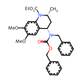 CCOC(=O)N1c2cc(OC)c(OC)cc2[C@@H](N(Cc2ccccc2)C(=O)OCc2ccccc2)C[C@H]1C